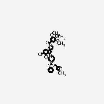 COc1cc(C(=O)N2CCC(CCN3CCCN(c4nc5ccccc5n4Cc4coc(C)c4)CC3)(c3ccc(Cl)c(Cl)c3)C2)cc(OC)c1OC